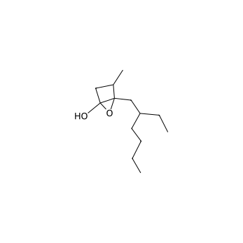 CCCCC(CC)CC12OC1(O)CC2C